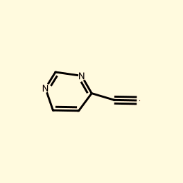 [C]#Cc1ccncn1